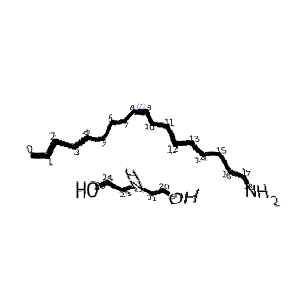 CCCCCCCC/C=C\CCCCCCCCN.OCCNCCO